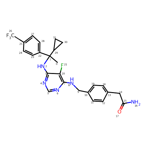 CC(Nc1ncnc(NCc2ccc(CC(N)=O)cc2)c1F)(c1ccc(C(F)(F)F)cc1)C1CC1